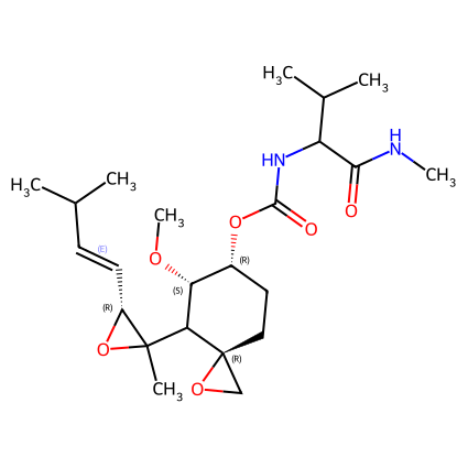 CNC(=O)C(NC(=O)O[C@@H]1CC[C@]2(CO2)C(C2(C)O[C@@H]2/C=C/C(C)C)[C@@H]1OC)C(C)C